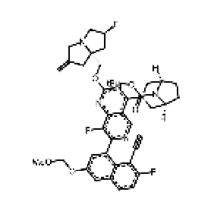 C#Cc1c(F)ccc2cc(OCOC)cc(-c3ncc4c(N5C[C@H]6CC[C@@H](C5)N6C(=O)OC(C)(C)C)nc(OC[C@]56CC(=C)CN5C[C@@H](F)C6)nc4c3F)c12